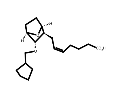 O=C(O)CCC/C=C\C[C@H]1[C@H](OCC2CCCC2)[C@H]2CC[C@@H]1O2